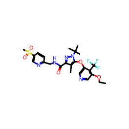 CCOc1cncc(Oc2c(C)c(C(=O)NCc3ccc(S(C)(=O)=O)cn3)nn2C(C)(C)C)c1C(F)(F)F